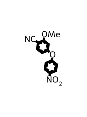 COc1cc(Oc2ccc([N+](=O)[O-])cc2)ccc1C#N